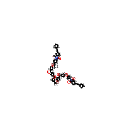 CCC(Oc1ccc(C(=O)c2ccc(Oc3cccc(C(CC)Oc4ccc(C(=O)c5ccc(Oc6ccc(N7C(=O)c8ccc(C#Cc9ccccc9)cc8C7=O)cc6)cc5)cc4)c3)cc2)cc1)c1ccc(N2C(=O)c3ccc(C#Cc4ccccc4)cc3C2=O)cc1